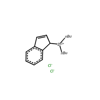 CCC[CH2][Zr+2]([CH2]CCC)[CH]1C=Cc2ccccc21.[Cl-].[Cl-]